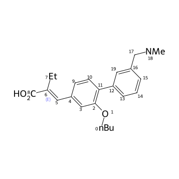 CCCCOc1cc(/C=C(\CC)C(=O)O)ccc1-c1cccc(CNC)c1